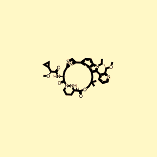 CCn1c(-c2cccnc2[C@H](C)OC)c2c3cc(ccc31)-c1csc(n1)C[C@H](NC(=O)[C@@H](OC)C1CC1)C(=O)N1CCC[C@H](N1)C(=O)OCC(C)(C)C2